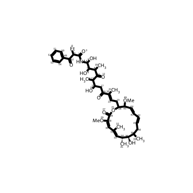 CCC(C(=O)NC(O)C(O)C(C)C(=O)C(C)C(O)CC(=O)/C(C)=C/CC1OC(=O)/C(OC)=C\C(C)=C\[C@@H](C)[C@H](O)C(C)C/C=C/C=C/C1OC)C(=O)c1ccccc1